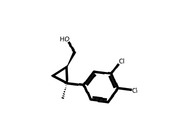 C[C@]1(c2ccc(Cl)c(Cl)c2)C[C@H]1CO